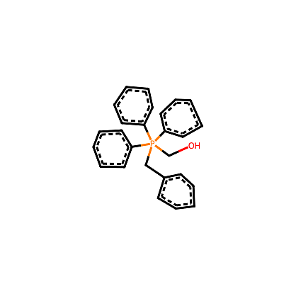 OCP(Cc1ccccc1)(c1ccccc1)(c1ccccc1)c1ccccc1